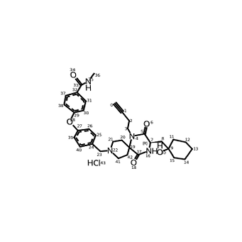 C#CCCN1C(=O)[C@@H](CC2(O)CCCCC2)NC(=O)C12CCN(Cc1ccc(Oc3ccc(C(=O)NC)cc3)cc1)CC2.Cl